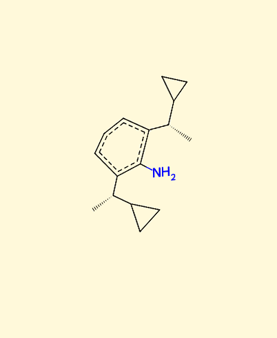 C[C@H](c1cccc([C@@H](C)C2CC2)c1N)C1CC1